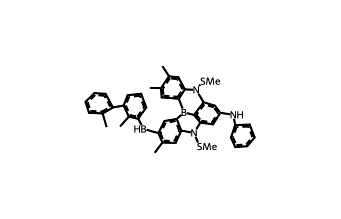 CSN1c2cc(C)c(C)cc2B2c3cc(Bc4cccc(-c5ccccc5C)c4C)c(C)cc3N(SC)c3cc(Nc4ccccc4)cc1c32